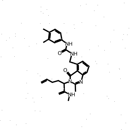 C=CCCC(C(=C)NC)n1c(C)nc2cccc(CNC(=O)Nc3ccc(C)c(C)c3)c2c1=O